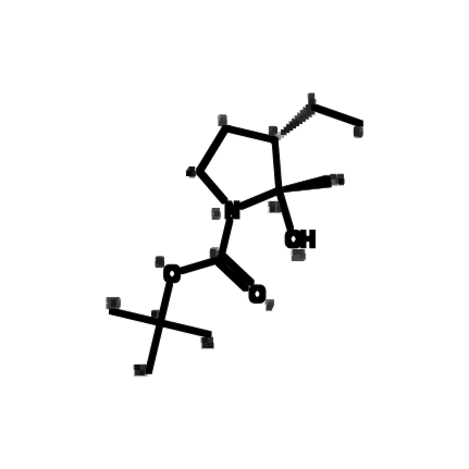 CC[C@H]1CCN(C(=O)OC(C)(C)C)[C@@]1(C)O